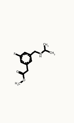 COC(=O)Cc1cc(F)cc(CNC(C)C)c1